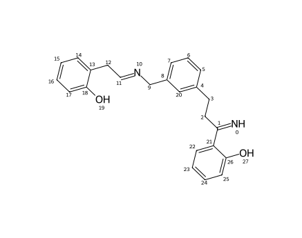 N=C(CCc1cccc(CN=CCc2ccccc2O)c1)c1ccccc1O